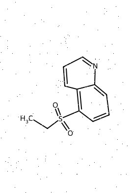 CCS(=O)(=O)c1cccc2ncccc12